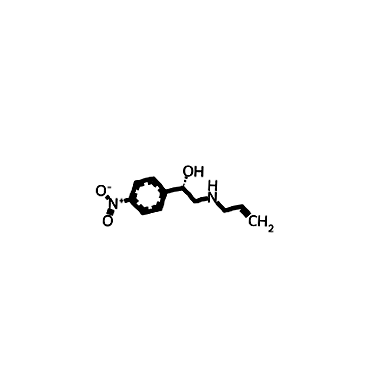 C=CCNC[C@@H](O)c1ccc([N+](=O)[O-])cc1